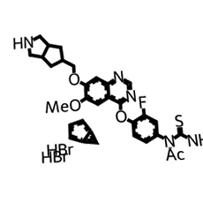 Br.Br.COc1cc2c(Oc3ccc(N(C(C)=O)C(N)=S)cc3F)ncnc2cc1OCC1CC2CNCC2C1.c1cc2cc-2c1